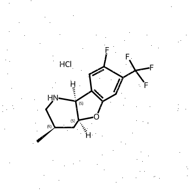 C[C@H]1CN[C@H]2c3cc(F)c(C(F)(F)F)cc3O[C@H]2C1.Cl